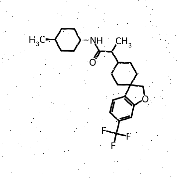 CC(C(=O)N[C@H]1CC[C@H](C)CC1)C1CCC2(CC1)COc1cc(C(F)(F)F)ccc12